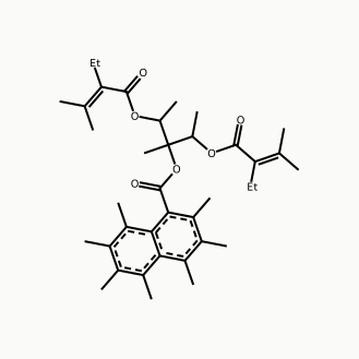 CCC(C(=O)OC(C)C(C)(OC(=O)c1c(C)c(C)c(C)c2c(C)c(C)c(C)c(C)c12)C(C)OC(=O)C(CC)=C(C)C)=C(C)C